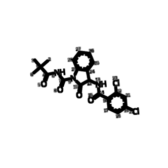 CC(C)(C)C(=O)NC(=O)N1C(=O)C(NC(=O)c2ccc(Cl)cc2Cl)c2ccccc21